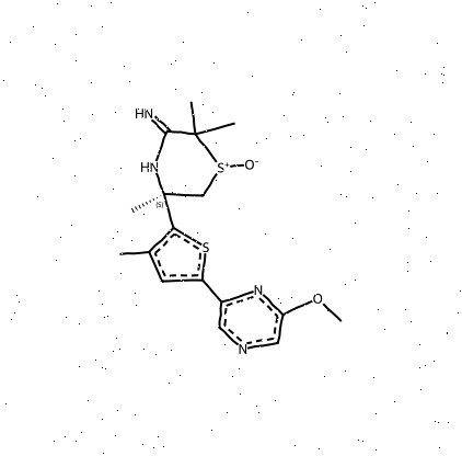 COc1cncc(-c2cc(C)c([C@]3(C)C[S+]([O-])C(C)(C)C(=N)N3)s2)n1